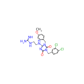 COc1ccc(Cn2c(NCCNC(=N)N)nc(=O)n(Cc3ccc(Cl)c(Cl)c3)c2=O)cc1